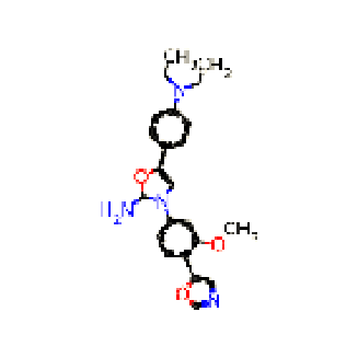 CCN(CC)c1ccc(C2=CN(c3ccc(-c4cnco4)c(OC)c3)C(N)O2)cc1